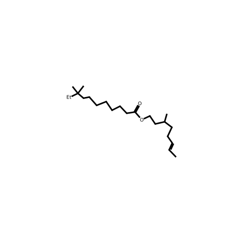 C/C=C/CCC(C)CCOC(=O)CCCCCCCC(C)(C)CC